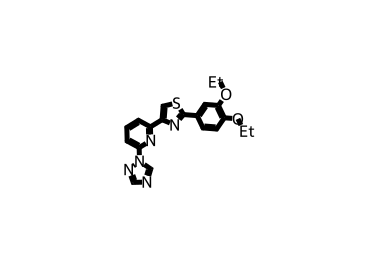 CCOc1ccc(-c2nc(-c3cccc(-n4cncn4)n3)cs2)cc1OCC